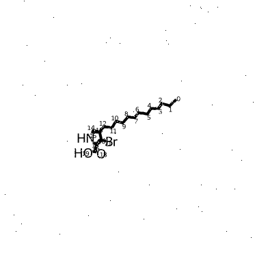 CCCCCCCCCCCCCc1c[nH]c(C(=O)O)c1Br